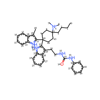 CCCCC1(N(C)C)CCC(c2[nH]c3ccccc3c2C)(c2[nH]c3ccccc3c2CCNC(=O)Nc2ccccc2)CC1